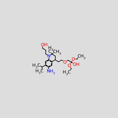 CCOC(O)(COCCC1CC(C)(C)N(CCCO)c2cc(C(C)C)c(N)cc21)OCC